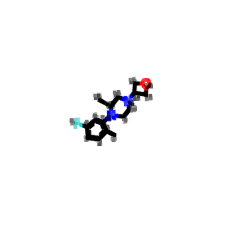 Cc1ccc(F)cc1N1CCN(C2COC2)C[C@@H]1C